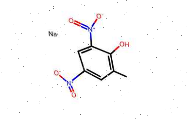 Cc1cc([N+](=O)[O-])cc([N+](=O)[O-])c1O.[Na]